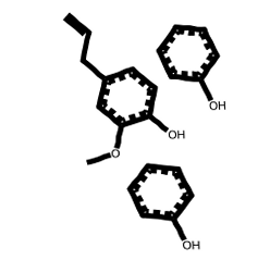 C=CCc1ccc(O)c(OC)c1.Oc1ccccc1.Oc1ccccc1